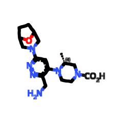 C[C@@H]1CN(C(=O)O)CCN1c1cc(N2CC3CCC(C2)O3)nnc1CN